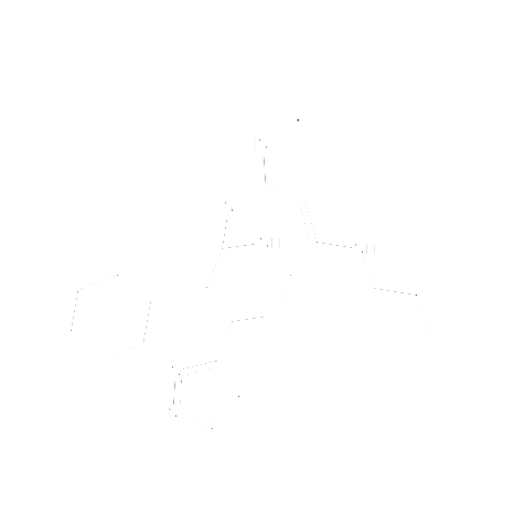 CC(C)CNC1=CC(NC(C)(C)C)=NC2C=C(c3ccnn3C3CCCCO3)SC1N2